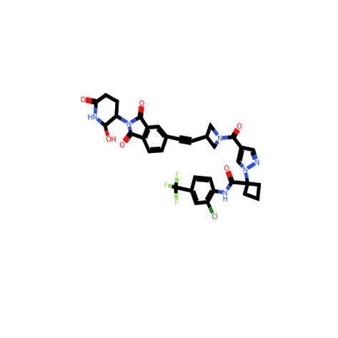 O=C1CCC(N2C(=O)c3ccc(C#CC4CN(C(=O)c5cnn(C6(C(=O)Nc7ccc(C(F)(F)F)cc7Cl)CCC6)c5)C4)cc3C2=O)C(O)N1